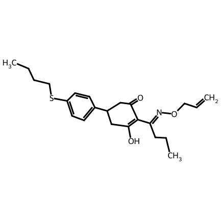 C=CCON=C(CCC)C1=C(O)CC(c2ccc(SCCCC)cc2)CC1=O